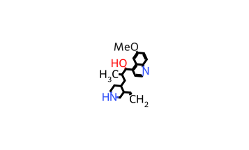 C=CC1CNCCC1CC(C)C(O)c1ccnc2ccc(OC)cc12